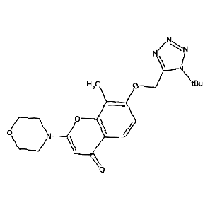 Cc1c(OCc2nnnn2C(C)(C)C)ccc2c(=O)cc(N3CCOCC3)oc12